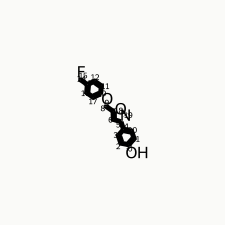 Oc1ccc(-c2cc(COc3ccc(CF)cc3)on2)cc1